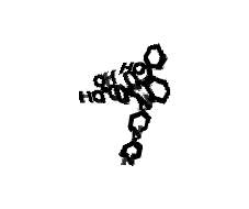 O=C(O)O.O=C1OC2C(CCCC2C2(O)CCCCC2)N1C1CCN(c2ccncc2)CC1